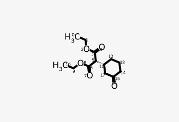 CCOC(=O)C(C(=O)OCC)[C@@H]1CCCC(=O)C1